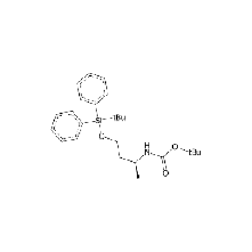 C[C@@H](CCO[Si](c1ccccc1)(c1ccccc1)C(C)(C)C)NC(=O)OC(C)(C)C